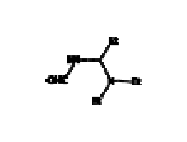 CCC(N[C]=O)N(CC)CC